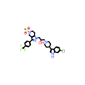 CS(=O)(=O)N1CCc2c(c(-c3ccc(C(F)(F)F)cc3)nn2CC(O)CN2CCC(c3c[nH]c4cc(Cl)ccc34)CC2)C1